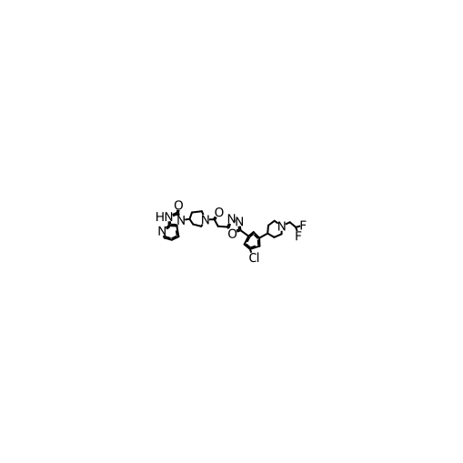 O=C(Cc1nnc(-c2cc(Cl)cc(C3CCN(CC(F)F)CC3)c2)o1)N1CCC(n2c(=O)[nH]c3ncccc32)CC1